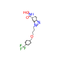 O=C(NO)c1ccc2ncn(CCCCOCc3ccc(C(F)(F)F)cc3)c2c1